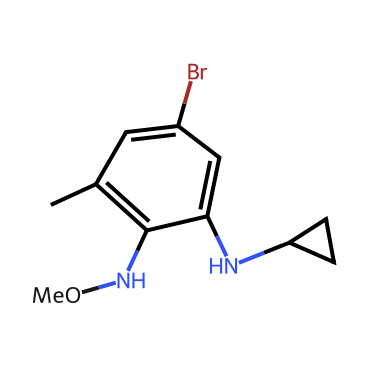 CONc1c(C)cc(Br)cc1NC1CC1